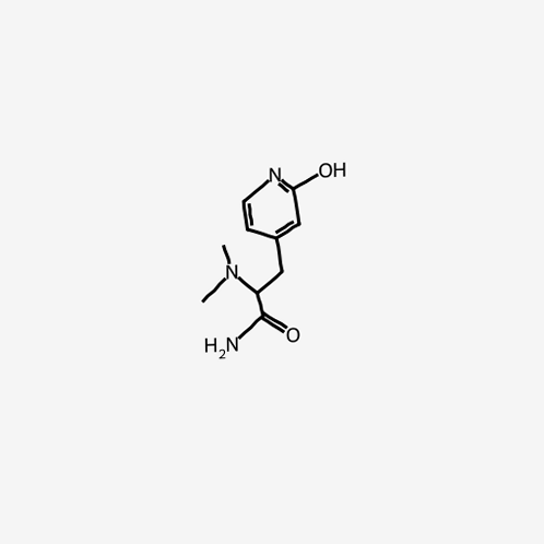 CN(C)C(Cc1ccnc(O)c1)C(N)=O